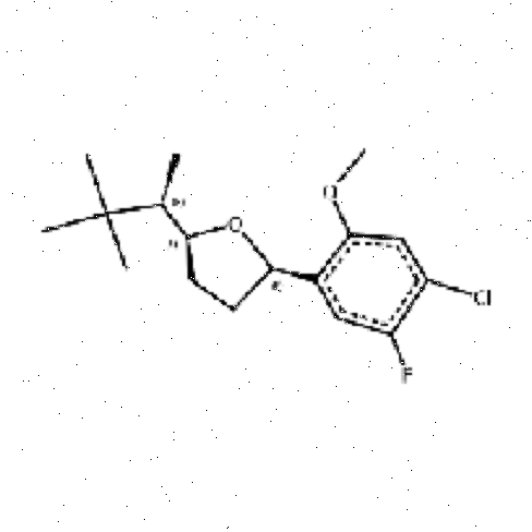 COc1cc(Cl)c(F)cc1[C@H]1CC[C@@H]([C@H](C)C(C)(C)C)O1